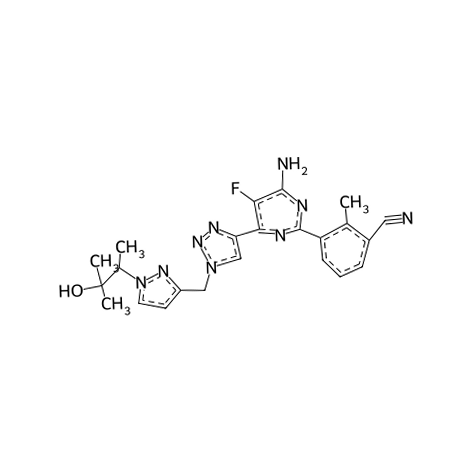 Cc1c(C#N)cccc1-c1nc(N)c(F)c(-c2cn(Cc3ccn(C(C)C(C)(C)O)n3)nn2)n1